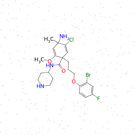 COC1=CC(C)(N)C(Cl)=CC1(CCCOc1ccc(F)cc1Br)C(=O)NC1CCNCC1